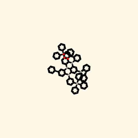 c1ccc(-c2ccc3c(c2)B2c4ccc([Si](c5ccccc5)(c5ccccc5)c5ccccc5)cc4N(c4ccccc4-c4ccccc4)c4cc(-n5c6ccccc6c6ccccc65)cc(c42)N3c2cccc([Si](c3ccccc3)(c3ccccc3)c3ccccc3)c2)cc1